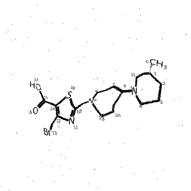 C[C@@H]1CCCN(C2CCN(c3nc(Br)c(C(=O)O)s3)CC2)C1